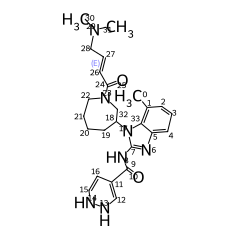 Cc1cccc2nc(NC(=O)C3=CNNC=C3)n(C3CCCCN(C(=O)/C=C/CN(C)C)C3)c12